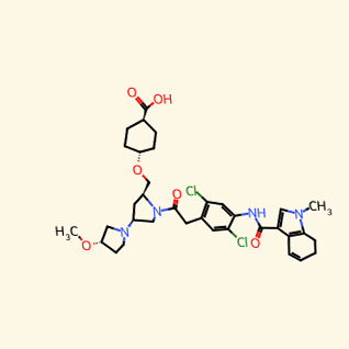 CO[C@H]1CCN([C@H]2C[C@@H](CO[C@H]3CC[C@H](C(=O)O)CC3)N(C(=O)Cc3cc(Cl)c(NC(=O)c4cn(C)c5c4C=CCC5)cc3Cl)C2)C1